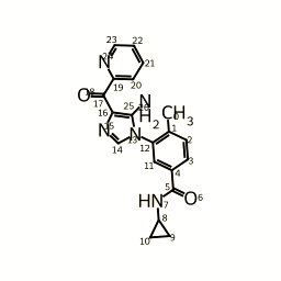 Cc1ccc(C(=O)NC2CC2)cc1-n1cnc(C(=O)c2ccccn2)c1N